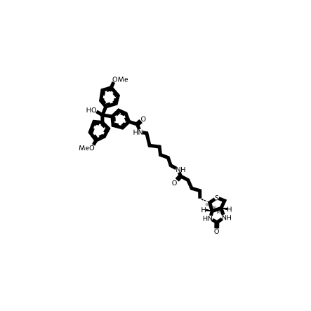 COc1ccc(C(O)(c2ccc(OC)cc2)c2ccc(C(=O)NCCCCCCNC(=O)CCCC[C@@H]3SC[C@@H]4NC(=O)N[C@@H]43)cc2)cc1